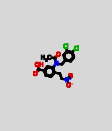 CC(=O)N(Cc1ccc(Cl)c(Cl)c1)c1cc(C(=O)O)ccc1CC[N+](=O)[O-]